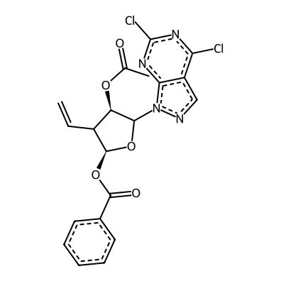 C=CC1[C@H](OC(=O)c2ccccc2)OC(n2ncc3c(Cl)nc(Cl)nc32)[C@@H]1OC(C)=O